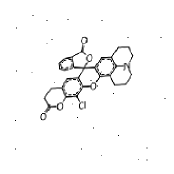 O=C1CCc2cc3c(c(Cl)c2O1)Oc1c(cc2c4c1CCCN4CCC2)C31OC(=O)c2ccccc21